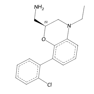 CCN1C[C@H](CN)Oc2c(-c3ccccc3Cl)cccc21